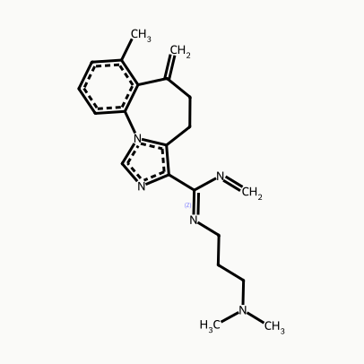 C=N/C(=N\CCCN(C)C)c1ncn2c1CCC(=C)c1c(C)cccc1-2